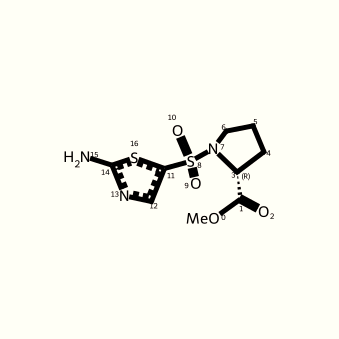 COC(=O)[C@H]1CCCN1S(=O)(=O)c1cnc(N)s1